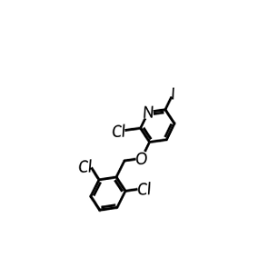 Clc1cccc(Cl)c1COc1ccc(I)nc1Cl